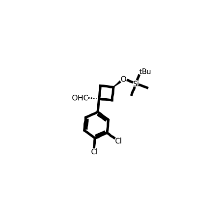 CC(C)(C)[Si](C)(C)O[C@H]1C[C@@](C=O)(c2ccc(Cl)c(Cl)c2)C1